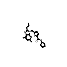 CCCc1nc2c(C)cc(C)nc2n1Cc1ccc(C(=O)OC2CC=CC2)s1